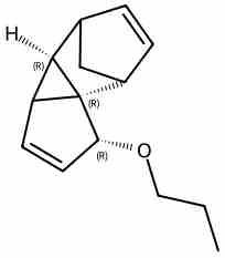 CCCO[C@@H]1C=CC2[C@H]3C4C=CC(C4)[C@]231